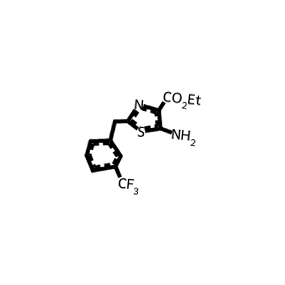 CCOC(=O)c1nc(Cc2cccc(C(F)(F)F)c2)sc1N